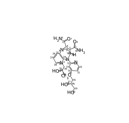 NC(=O)C1C(C(N)=O)N2C[C@H]1N(c1cc(OC[C@H](O)CO)ccn1)c1c2ccc[n+]1C[C@H](O)C(F)(F)F